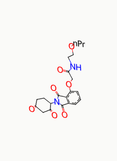 CCCOCCNC(=O)COc1cccc2c1C(=O)N(C1CCC(=O)CC1=O)C2=O